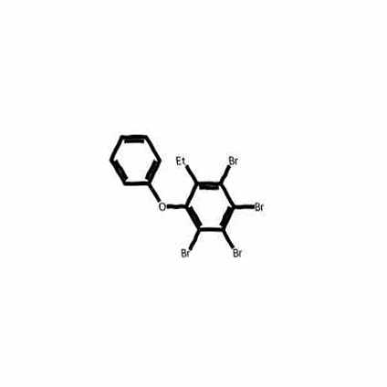 CCc1c(Br)c(Br)c(Br)c(Br)c1Oc1ccccc1